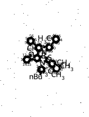 CCCCc1ccc(N2c3cc4c(oc5ccccc54)c4c3B(c3sc5cc6c(cc5c32)C(C)(C)CCC6(C)C)n2c3ccc(-c5ccccc5C)cc3c3cc(-c5ccccc5C)cc-4c32)cc1